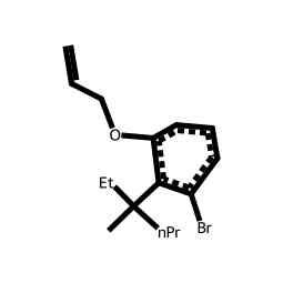 C=CCOc1cccc(Br)c1C(C)(CC)CCC